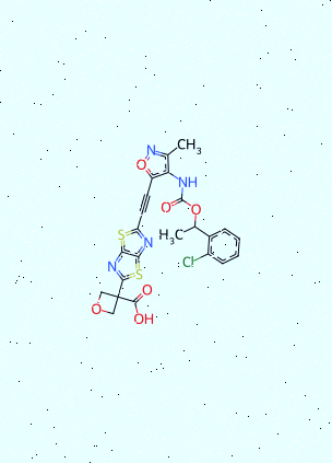 Cc1noc(C#Cc2nc3sc(C4(C(=O)O)COC4)nc3s2)c1NC(=O)OC(C)c1ccccc1Cl